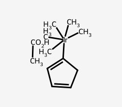 CC(=O)O.[CH3][Ir]([CH3])([CH3])([CH3])([CH3])[C]1=CC=CC1